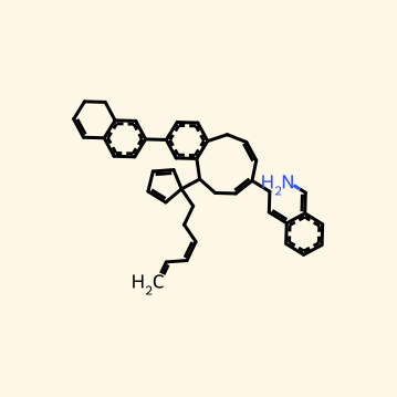 C=C/C=C\CCC1(C2C/C=C(C/C=c3/cccc/c3=C/N)\C=C/Cc3ccc(-c4ccc5c(c4)CCC=C5)cc32)C=CC=C1